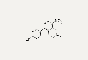 CN1CCc2c(-c3ccc(Cl)cc3)ccc([N+](=O)[O-])c2C1